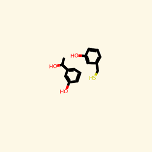 CC(O)c1cccc(O)c1.Oc1cccc(CS)c1